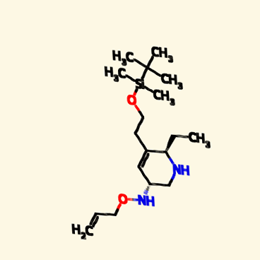 C=CCON[C@@H]1C=C(CCO[Si](C)(C)C(C)(C)C)[C@@H](CC)NC1